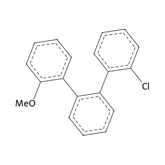 COc1ccccc1-c1ccccc1-c1ccccc1Cl